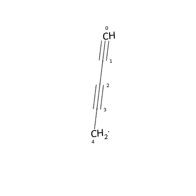 C#CC#C[CH2]